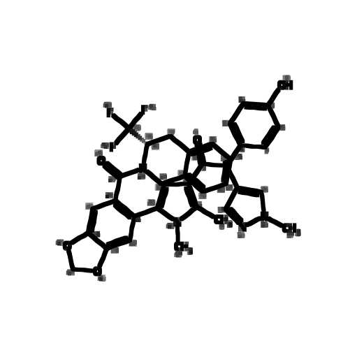 Cc1c(C(=O)N(c2ccc(O)cc2)c2cnn(C)c2)cc(-c2cc3c(cc2C(=O)N2Cc4ccccc4C[C@H]2C(F)(F)F)OCO3)n1C